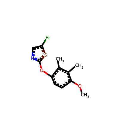 COc1ccc(Oc2ncc(Br)s2)c(C)c1C